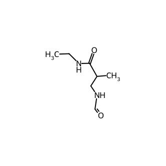 CCNC(=O)C(C)CNC=O